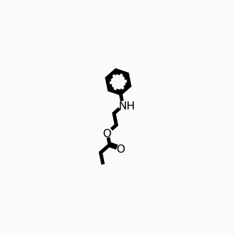 CCC(=O)OCCNc1ccccc1